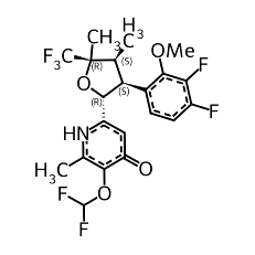 COc1c([C@H]2[C@H](c3cc(=O)c(OC(F)F)c(C)[nH]3)O[C@@](C)(C(F)(F)F)[C@H]2C)ccc(F)c1F